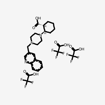 O=C(O)C(F)(F)F.O=C(O)C(F)(F)F.O=C(O)C(F)(F)F.O=C(O)[C@@H]1CCCC[C@H]1N1CCN(Cc2cnc3ccccc3c2)CC1